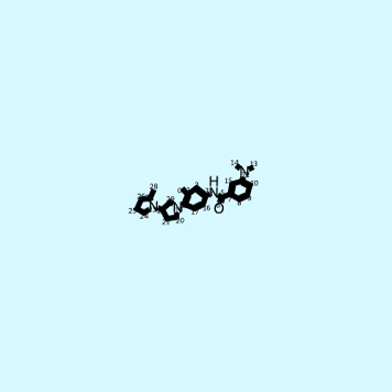 Cc1cc(NC(=O)c2cccc(N(C)C)c2)ccc1N1CCC(N2CCCC2C)C1